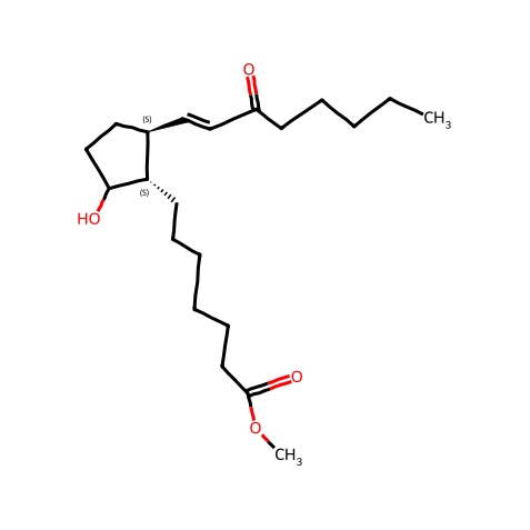 CCCCCC(=O)C=C[C@@H]1CCC(O)[C@H]1CCCCCCC(=O)OC